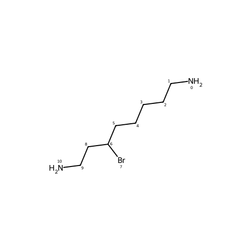 NCCCCCC(Br)CCN